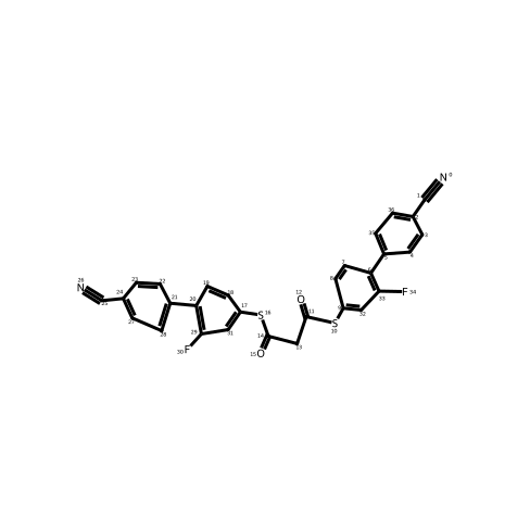 N#Cc1ccc(-c2ccc(SC(=O)CC(=O)Sc3ccc(-c4ccc(C#N)cc4)c(F)c3)cc2F)cc1